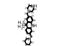 CC1(C)c2ccc(CN3CCCCC3)cc2Nc2ccc(CN3CCNCC3)cc21